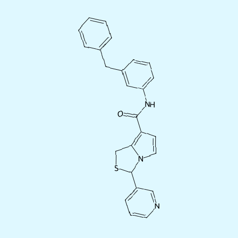 O=C(Nc1cccc(Cc2ccccc2)c1)c1ccn2c1CSC2c1cccnc1